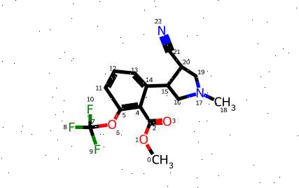 COC(=O)c1c(OC(F)(F)F)cccc1C1CN(C)CC1C#N